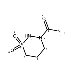 NC(=O)N1CCCS(=O)(=O)N1